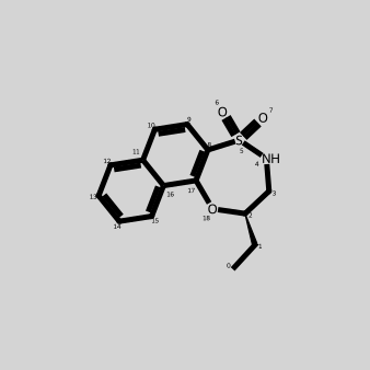 CC[C@@H]1CNS(=O)(=O)c2ccc3ccccc3c2O1